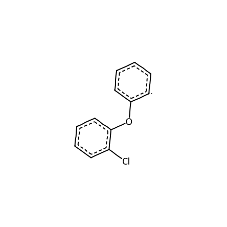 Clc1ccccc1Oc1[c]cccc1